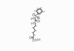 COC(=O)CCCCCNC(=O)NS(=O)(=O)c1ccccc1